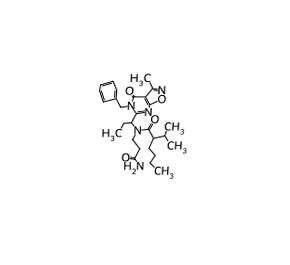 CCCCC(C(=O)N(CCC(N)=O)C(CC)c1nc2onc(C)c2c(=O)n1Cc1ccccc1)C(C)C